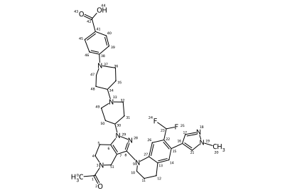 CC(=O)N1CCc2c(c(N3CCCc4cc(-c5cnn(C)c5)c(C(F)F)cc43)nn2C2CCN(C3CCN(c4ccc(C(=O)O)cc4)CC3)CC2)C1